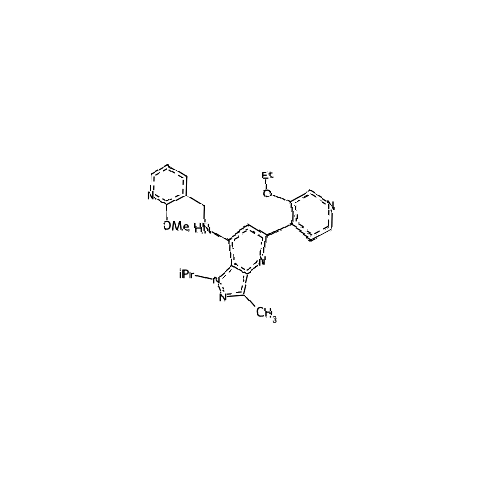 CCOc1cnccc1-c1cc(NCc2cccnc2OC)c2c(n1)c(C)nn2C(C)C